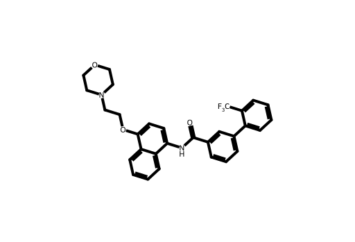 O=C(Nc1ccc(OCCN2CCOCC2)c2ccccc12)c1cccc(-c2ccccc2C(F)(F)F)c1